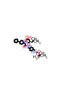 CC(C)C[C@H](CC(=O)O)C(=O)NC(C(=O)NCc1ccc(CNC(=O)OC(C)(C)C)cc1)c1ccc(-c2ccccc2)cc1